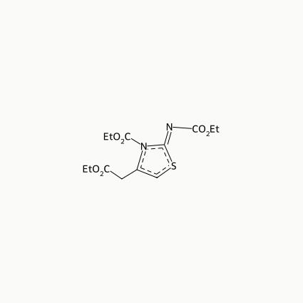 CCOC(=O)Cc1cs/c(=N\C(=O)OCC)n1C(=O)OCC